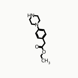 CCOC(=O)Cc1ccc(N2CCNCC2)cc1